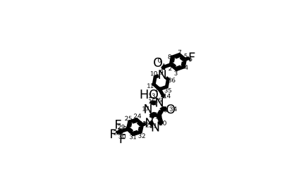 O=C(c1ccc(F)cc1)N1CCC(O)(Cn2cnc3c(cnn3-c3ccc(C(F)(F)F)cc3)c2=O)CC1